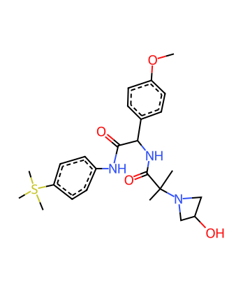 COc1ccc(C(NC(=O)C(C)(C)N2CC(O)C2)C(=O)Nc2ccc(S(C)(C)C)cc2)cc1